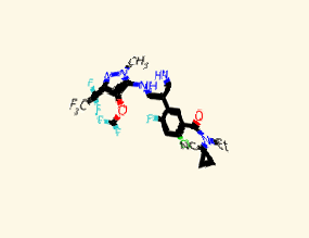 CCN(C(=O)c1cc(/C(C=N)=C/Nc2c(OC(F)F)c(C(F)(F)C(F)(F)F)nn2C)c(F)cc1Cl)C1(C#N)CC1